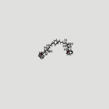 N=C(NCCCCN1CCN(CCCCNC(=N)NC(=O)NC23CC4CC(CC(C4)C2)C3)CC1)NC(=O)NC12CC3CC(CC(C3)C1)C2